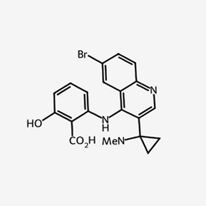 CNC1(c2cnc3ccc(Br)cc3c2Nc2cccc(O)c2C(=O)O)CC1